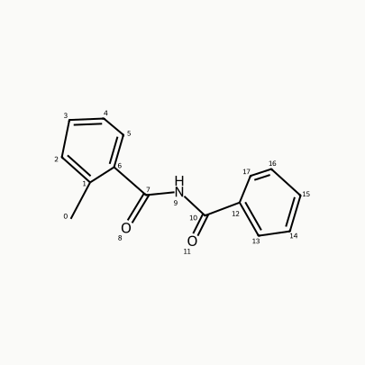 Cc1ccccc1C(=O)NC(=O)c1ccccc1